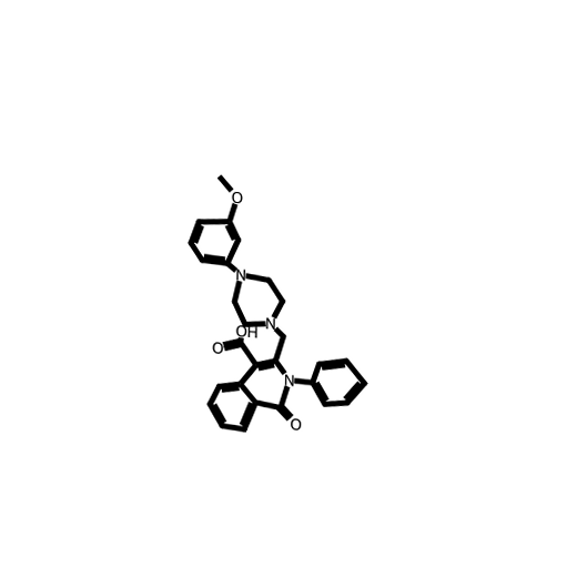 COc1cccc(N2CCN(Cc3c(C(=O)O)c4ccccc4c(=O)n3-c3ccccc3)CC2)c1